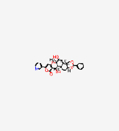 CC12CC[C@@H]3O[C@H](c4ccccc4)OC[C@@]3(C)C1C[C@H](O)C1(C)Oc3cc(-c4cccnc4)oc(=O)c3[C@H](O)C21